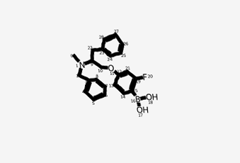 CN(Cc1ccccc1)C(COc1ccc(B(O)O)c(F)c1)Cc1ccccc1